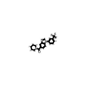 O=C(c1ccc2c(c1)ncn2-c1cccc(C(F)(F)F)c1)N1CCCCC1